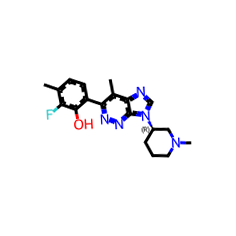 Cc1ccc(-c2nnc3c(ncn3[C@@H]3CCCN(C)C3)c2C)c(O)c1F